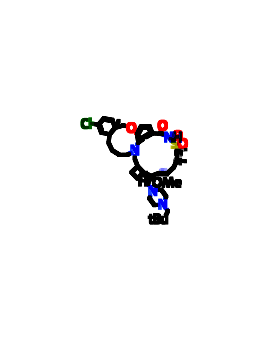 CO[C@]1(CN2CCN(CC(C)(C)C)CC2)/C=C/C[C@H](C)[C@@H](C)S(=O)(=O)NC(=O)c2ccc3c(c2)N(CCCCC2C=C(Cl)C=CC2(C)CO3)CC2CC[C@H]21